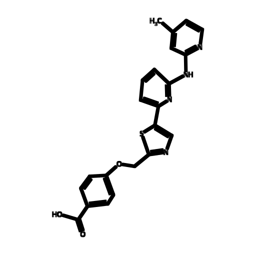 Cc1ccnc(Nc2cccc(-c3cnc(COc4ccc(C(=O)O)cc4)s3)n2)c1